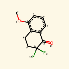 COc1cccc2c1CCC(F)(F)C2=O